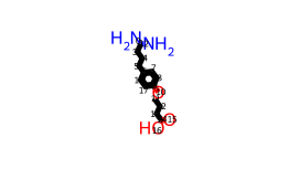 NC(N)CCCc1ccc(OCCCC(=O)O)cc1